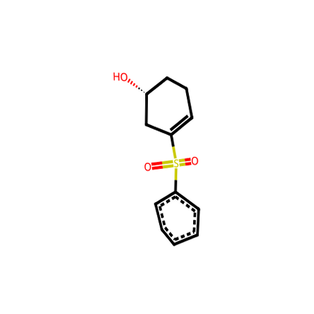 O=S(=O)(C1=CCC[C@@H](O)C1)c1ccccc1